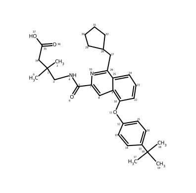 CC(C)(CNC(=O)c1cc2c(Oc3ccc(C(C)(C)C)cc3)cccc2c(CC2CCCC2)n1)CC(=O)O